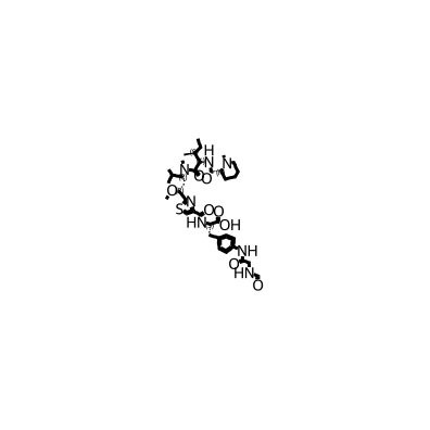 CC[C@H](C)[C@H](NC(=O)[C@H]1CCCCN1C)C(=O)N(C)[C@H](C[C@@H](OC)c1nc(C(=O)N[C@@H](Cc2ccc(NC(=O)CNC=O)cc2)C(=O)O)cs1)C(C)C